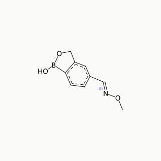 CO/N=C/c1ccc2c(c1)COB2O